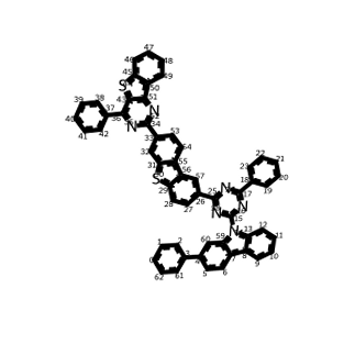 c1ccc(-c2ccc3c4ccccc4n(-c4nc(-c5ccccc5)nc(-c5ccc6sc7cc(-c8nc(-c9ccccc9)c9sc%10ccccc%10c9n8)ccc7c6c5)n4)c3c2)cc1